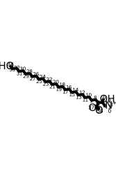 C[N+](C)(C)CC(O)C(CCCCCCCCCCCCCCCCCCCCCCCCCCO)C(=O)[O-]